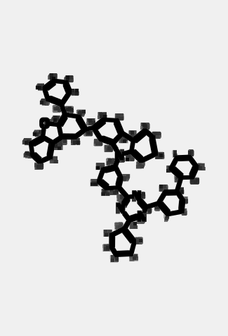 c1ccc(-c2cccc(-c3nc(-c4ccccc4)nc(-c4cccc(-n5c6ccccc6c6ccc(-c7cc(-c8ccccc8)c8oc9ccccc9c8c7)cc65)c4)n3)c2)cc1